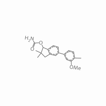 COc1cc(-c2ccc3c(c2)CC(C)(C)C3OC(N)=O)ccc1C